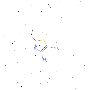 CCc1nc(N)c(N)s1